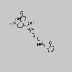 O=c1ccc2c([C@@H](O)CNCCSCCCNCCc3ccccc3Cl)ccc(O)c2[nH]1